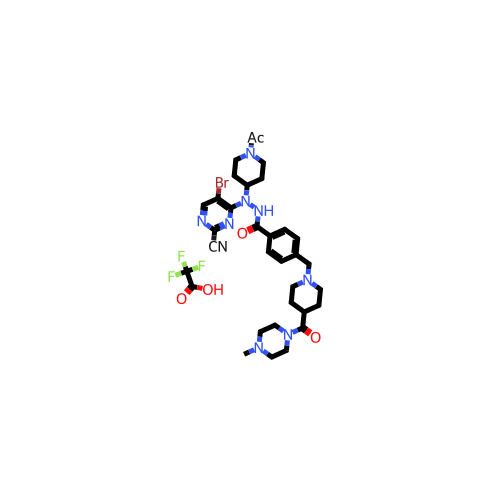 CC(=O)N1CCC(N(NC(=O)c2ccc(CN3CCC(C(=O)N4CCN(C)CC4)CC3)cc2)c2nc(C#N)ncc2Br)CC1.O=C(O)C(F)(F)F